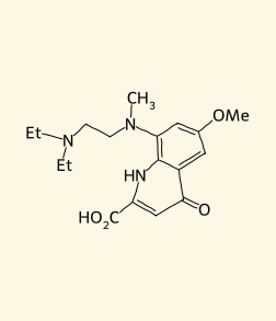 CCN(CC)CCN(C)c1cc(OC)cc2c(=O)cc(C(=O)O)[nH]c12